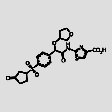 O=C1CCC(S(=O)(=O)c2ccc(C(OC3CCOC3)C(=O)Nc3nc(C(=O)O)cs3)cc2)C1